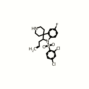 C=CCC1N(S(=O)(=O)c2ccc(Cl)cc2Cl)c2ccc(F)cc2C12CCNCC2